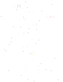 CCC(Oc1ccc([SH]2c3ccccc3-c3ccccc32)cc1)c1ccc(O)cc1